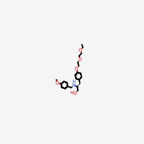 CCOCCOCCOc1ccc(C[C@@H](CO)NCc2ccc(OC)cc2)cc1